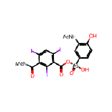 CNC(=O)c1c(I)cc(I)c(C(=O)O[As](=O)(O)c2ccc(O)c(NC(C)=O)c2)c1I